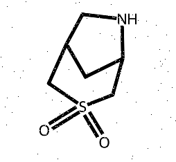 O=S1(=O)CC2CNC(C2)C1